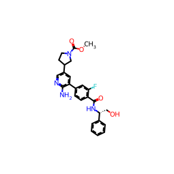 COC(=O)N1CCC(c2cnc(N)c(-c3ccc(C(=O)N[C@H](CO)c4ccccc4)c(F)c3)c2)C1